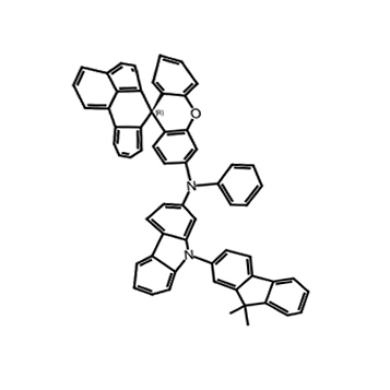 CC1(C)c2ccccc2-c2ccc(-n3c4ccccc4c4ccc(N(c5ccccc5)c5ccc6c(c5)Oc5ccccc5[C@]65c6ccccc6-c6cccc7cccc5c67)cc43)cc21